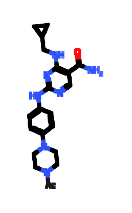 CC(=O)N1CCN(c2ccc(Nc3ncc(C(N)=O)c(NCC4CC4)n3)cc2)CC1